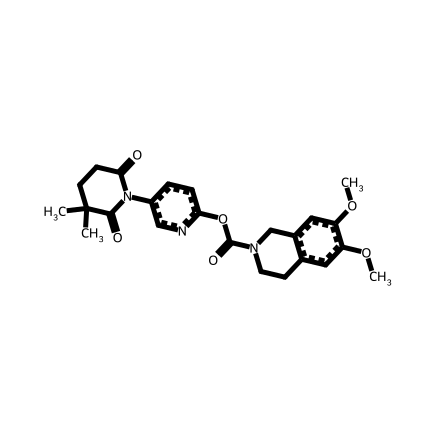 COc1cc2c(cc1OC)CN(C(=O)Oc1ccc(N3C(=O)CCC(C)(C)C3=O)cn1)CC2